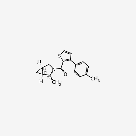 [CH2][C@H]1[C@H]2C[C@H]2CN1C(=O)c1sccc1-c1ccc(C)cc1